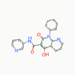 O=C(Nc1cccnc1)c1c(O)c2cccnc2n(-c2ccccc2)c1=O